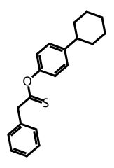 S=C(Cc1ccccc1)Oc1ccc(C2CCCCC2)cc1